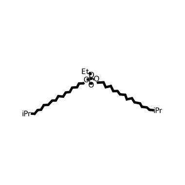 CCOP(=O)(OCCCCCCCCCCCCCCCC(C)C)OCCCCCCCCCCCCCCCC(C)C